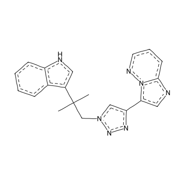 CC(C)(Cn1cc(-c2cnc3cccnn23)nn1)c1c[nH]c2ccccc12